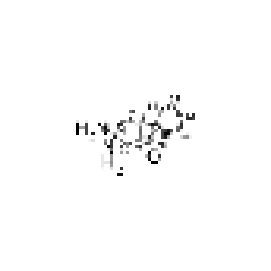 COC.NC1(N)C=CC(c2ccccc2)=CC1